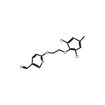 Cc1cc(Cl)c(OCCOc2ccc(C=O)cn2)c(Cl)c1